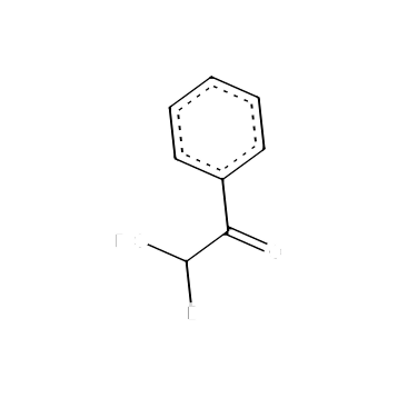 [CH2]CC(C(=O)c1ccccc1)C(F)(F)F